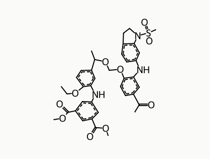 CCOc1ccc(C(C)OCOc2ccc(C(C)=O)cc2Nc2ccc3c(c2)N(S(C)(=O)=O)CC3)cc1Nc1cc(C(=O)OC)cc(C(=O)OC)c1